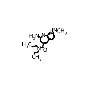 CCCN(CCC)C(=O)C1=Cc2ccc(NC)cc2N=C(N)C1